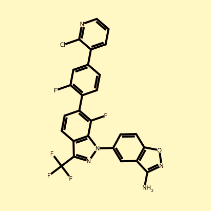 Nc1noc2ccc(-n3nc(C(F)(F)F)c4ccc(-c5ccc(-c6cccnc6Cl)cc5F)c(F)c43)cc12